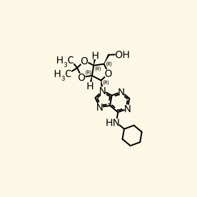 CC1(C)O[C@@H]2[C@H](O1)[C@@H](CO)O[C@H]2n1cnc2c(NC3CCCCC3)ncnc21